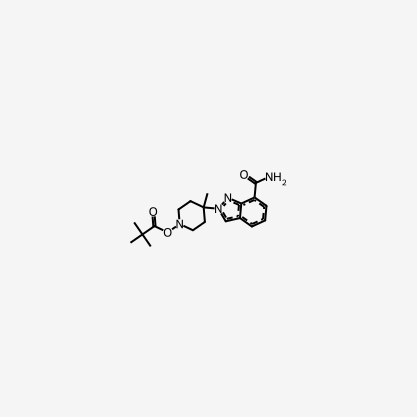 CC(C)(C)C(=O)ON1CCC(C)(n2cc3cccc(C(N)=O)c3n2)CC1